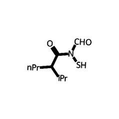 CCCC(C(=O)N(S)C=O)C(C)C